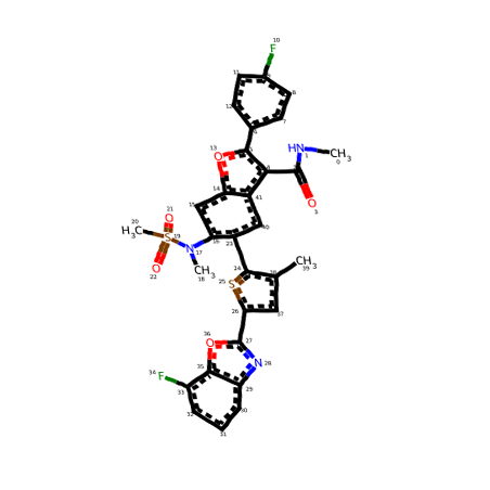 CNC(=O)c1c(-c2ccc(F)cc2)oc2cc(N(C)S(C)(=O)=O)c(-c3sc(-c4nc5cccc(F)c5o4)cc3C)cc12